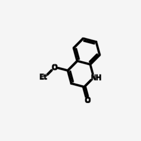 CCOc1cc(=O)[nH]c2ccccc12